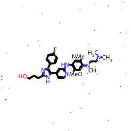 CNc1cc(Nc2cc(-c3[nH]c(CCCO)nc3-c3ccc(F)cc3)ccn2)c(OC)cc1N(C)CCN(C)C